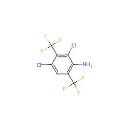 Nc1c(C(F)(F)F)cc(Cl)c(C(F)(F)F)c1Cl